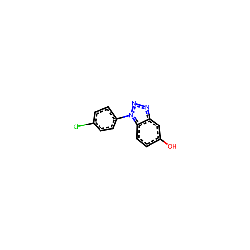 Oc1ccc2c(c1)nnn2-c1ccc(Cl)cc1